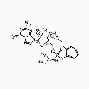 CCOC(=O)CCc1ccccc1OP(=O)(N[C@H](C)C(=O)OCC)OC[C@H]1O[C@@H](n2cnc3c(N)nc(N)nc32)[C@](C)(O)C1O